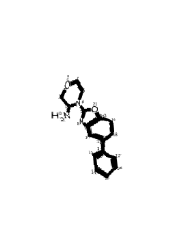 NC1COCCN1c1nc2cc(-c3ccccc3)ccc2o1